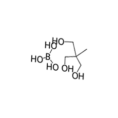 CC(CO)(CO)CO.OB(O)O